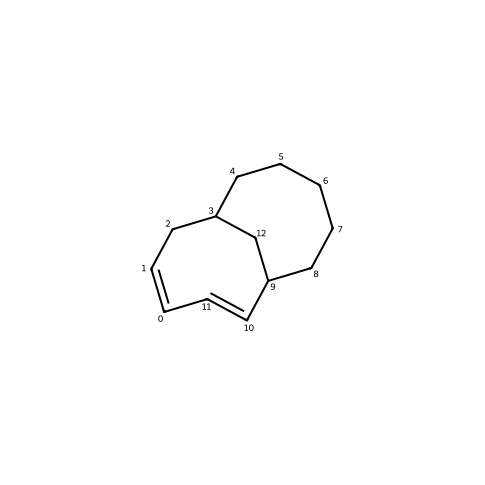 C1=C\CC2CCCCCC(/C=C/1)C2